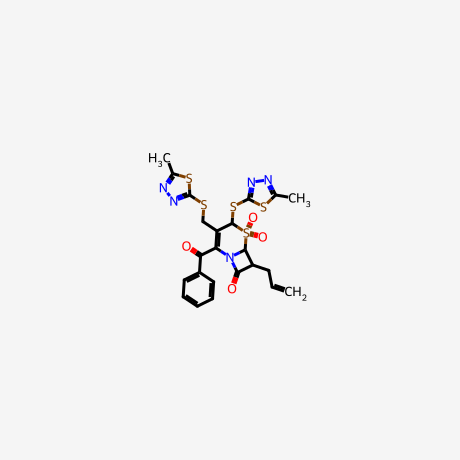 C=CCC1C(=O)N2C(C(=O)c3ccccc3)=C(CSc3nnc(C)s3)C(Sc3nnc(C)s3)S(=O)(=O)C12